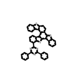 c1ccc(-c2nc(-c3ccccc3)nc(-c3cccc4c3sc3c5c6ccccc6sc5c5ccc6sc7ccccc7c6c5c43)n2)cc1